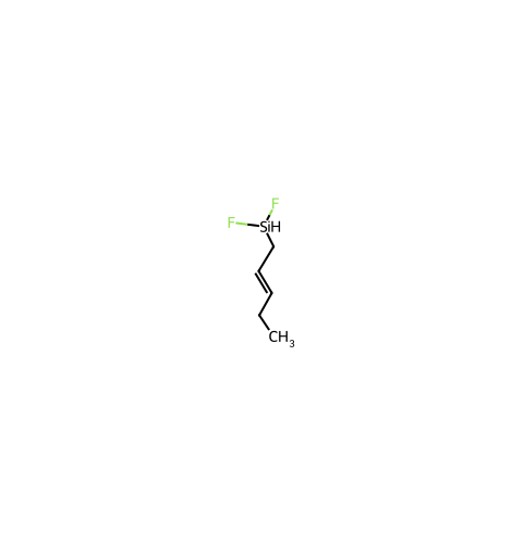 CCC=CC[SiH](F)F